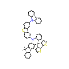 CC1(C)c2ccccc2-c2cc3c(cc21)N(c1ccc2sc4ccc(-n5c6ccccc6c6ccccc65)cc4c2c1)c1ccccc1C31c2ccsc2-c2sccc21